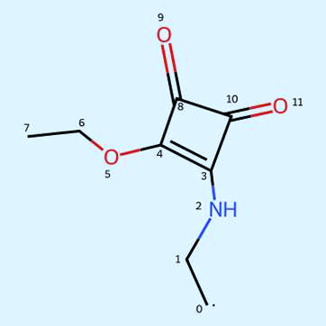 [CH2]CNc1c(OCC)c(=O)c1=O